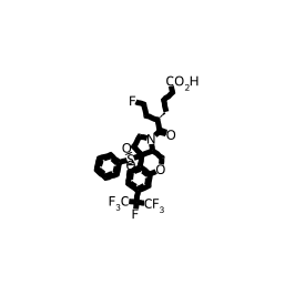 O=C(O)CCC[C@@H](CCF)C(=O)N1CCC2(S(=O)(=O)c3ccccc3)c3ccc(C(F)(C(F)(F)F)C(F)(F)F)cc3OCC12